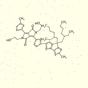 CCCCC(CC)CC1(CC(CC)CCCC)c2cc(C)sc2-c2sc(-c3ccc(C4=C5C(=O)N(CCO)C(c6ccc(C)s6)=C5C(=O)N4CCO)s3)cc21